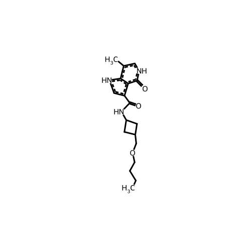 CCCCOCC1CC(NC(=O)c2c[nH]c3c(C)c[nH]c(=O)c23)C1